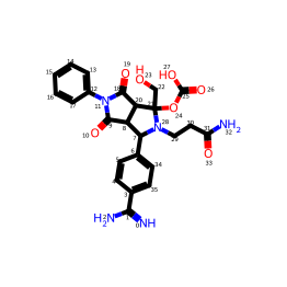 N=C(N)c1ccc(C2C3C(=O)N(c4ccccc4)C(=O)C3C(CO)(OC(=O)O)N2CCC(N)=O)cc1